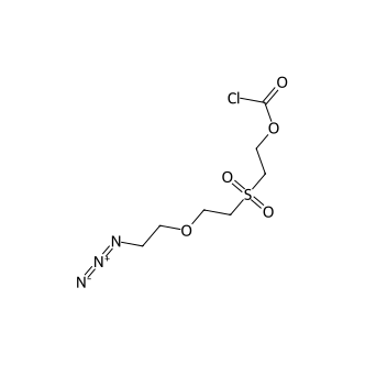 [N-]=[N+]=NCCOCCS(=O)(=O)CCOC(=O)Cl